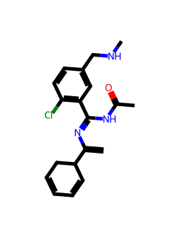 C=C(/N=C(\NC(C)=O)c1cc(CNC)ccc1Cl)C1C=CC=CC1